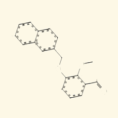 COc1c(C=O)cccc1OCc1ccc2ccccc2c1